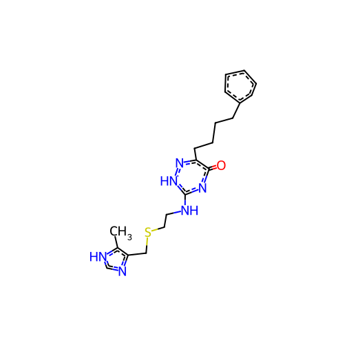 Cc1[nH]cnc1CSCCNc1nc(=O)c(CCCCc2ccccc2)n[nH]1